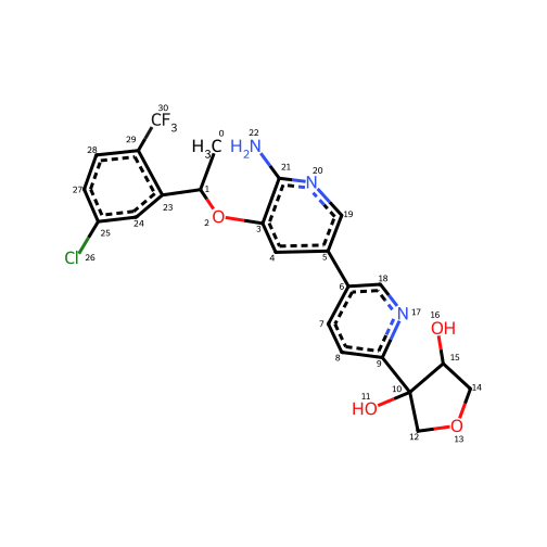 CC(Oc1cc(-c2ccc(C3(O)COCC3O)nc2)cnc1N)c1cc(Cl)ccc1C(F)(F)F